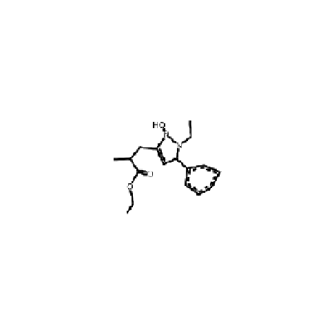 CCOC(=O)C(C)CC1=CC(c2ccccc2)N(CC)N1O